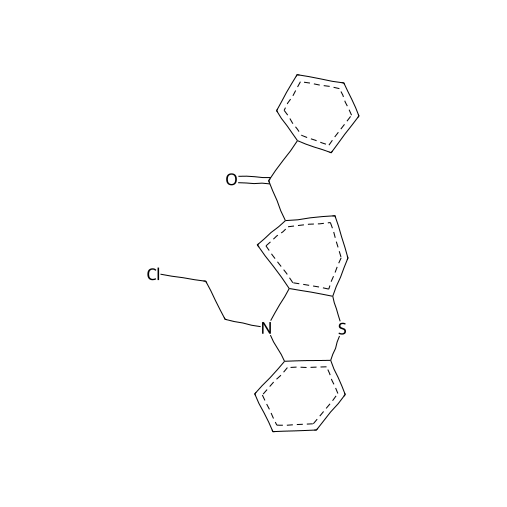 O=C(c1ccccc1)c1ccc2c(c1)N(CCCl)c1ccccc1S2